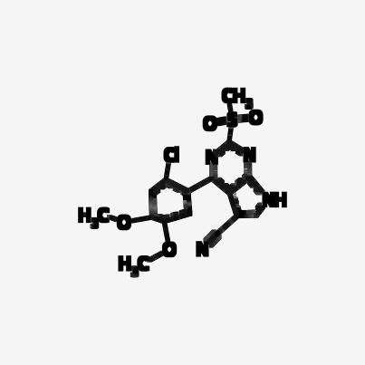 COc1cc(Cl)c(-c2nc(S(C)(=O)=O)nc3[nH]cc(C#N)c23)cc1OC